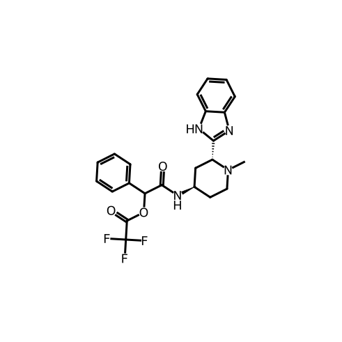 CN1CC[C@@H](NC(=O)C(OC(=O)C(F)(F)F)c2ccccc2)C[C@@H]1c1nc2ccccc2[nH]1